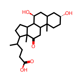 CC(CCC(=O)O)C1CCC2C3C(CC(=O)C12C)C1(C)CC[C@@H](O)CC1C[C@@H]3O